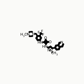 CN1CCN(Cc2ccc(Nc3c(Nc4cc(-c5ccc6ccncc6c5)n(C)n4)c(=O)c3=O)cc2C(F)(F)F)CC1